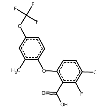 Cc1cc(OC(F)(F)F)ccc1Oc1ccc(Cl)c(F)c1C(=O)O